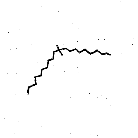 CCCCCCCCCCC(C)(C)CCCCCCCCCC